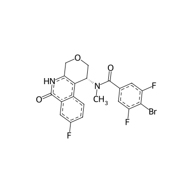 CN(C(=O)c1cc(F)c(Br)c(F)c1)[C@H]1COCc2[nH]c(=O)c3cc(F)ccc3c21